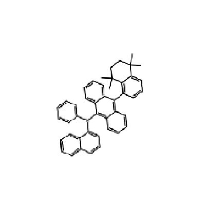 CC1(C)CCC(C)(C)c2c(-c3c4ccccc4c(N(c4ccccc4)c4cccc5ccccc45)c4ccccc34)cccc21